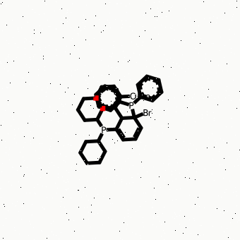 COc1ccccc1C1C(P(C2CCCCC2)C2CCCCC2)=CC=CC1(Br)P(c1ccccc1)c1ccccc1